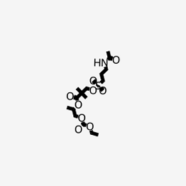 CCOC(=O)OCC(C)OC(=O)C(C)(C)COS(=O)(=O)CCCNC(C)=O